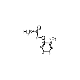 [CH2]Cc1ccccc1OCC(N)=O